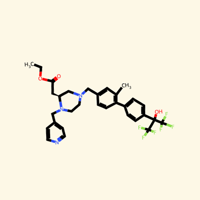 CCOC(=O)C[C@H]1CN(Cc2ccc(-c3ccc(C(O)(C(F)(F)F)C(F)(F)F)cc3)c(C)c2)CCN1Cc1ccncc1